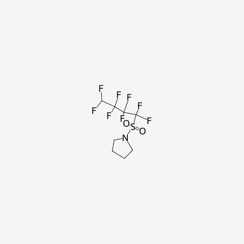 O=S(=O)(N1CCCC1)C(F)(F)C(F)(F)C(F)(F)C(F)F